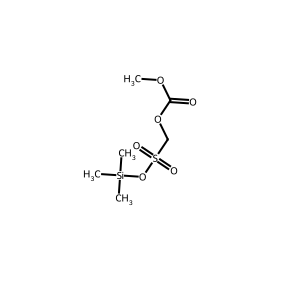 COC(=O)OCS(=O)(=O)O[Si](C)(C)C